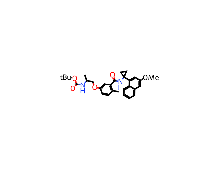 COc1cc(C2(NC(=O)c3cc(OCC(C)NC(=O)OC(C)(C)C)ccc3C)CC2)c2ccccc2c1